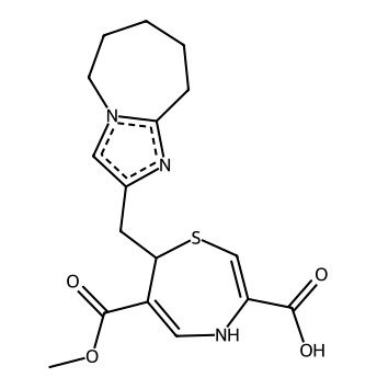 COC(=O)C1=CNC(C(=O)O)=CSC1Cc1cn2c(n1)CCCCC2